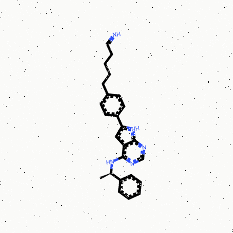 C[C@@H](Nc1ncnc2[nH]c(-c3ccc(CCCCC=N)cc3)cc12)c1ccccc1